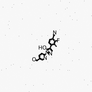 Cc1c(-c2cnn(-c3ccc(C=O)cn3)c2O)ccc(C#N)c1F